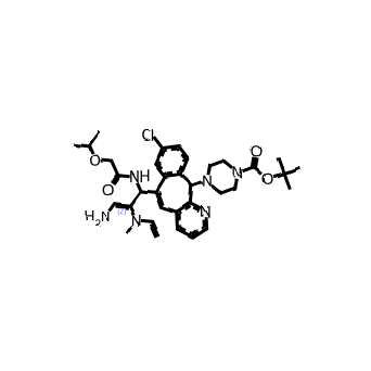 C=CN(C)/C(=C\N)C(NC(=O)COC(C)C)C1=Cc2cccnc2C(N2CCN(C(=O)OC(C)(C)C)CC2)c2ccc(Cl)cc21